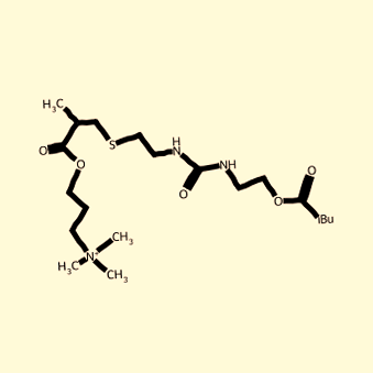 CCC(C)C(=O)OCCNC(=O)NCCSCC(C)C(=O)OCCC[N+](C)(C)C